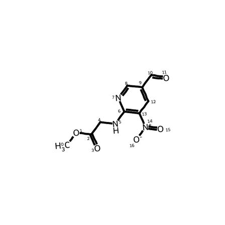 COC(=O)CNc1ncc(C=O)cc1[N+](=O)[O-]